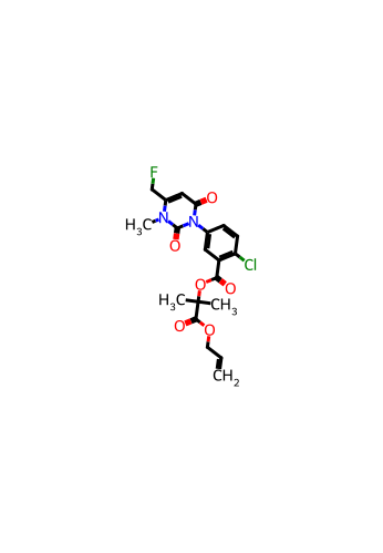 C=CCOC(=O)C(C)(C)OC(=O)c1cc(-n2c(=O)cc(CF)n(C)c2=O)ccc1Cl